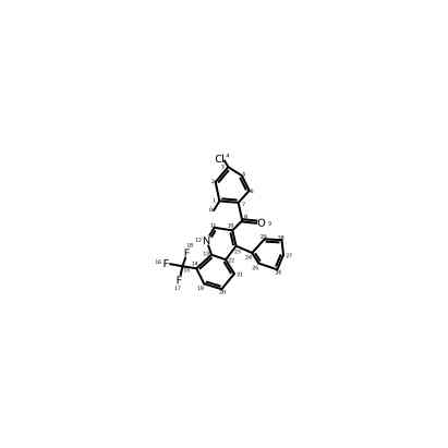 Cc1cc(Cl)ccc1C(=O)c1cnc2c(C(F)(F)F)cccc2c1-c1ccccc1